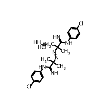 CC(C)(N=NC(C)(C)C(=N)Nc1ccc(Cl)cc1)C(=N)Nc1ccc(Cl)cc1.Cl.[HH].[HH]